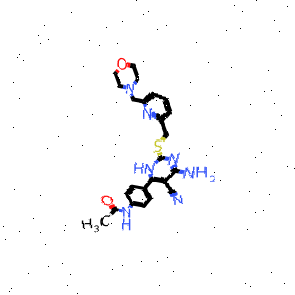 CC(=O)Nc1ccc(C2=C(C#N)C(N)=NC(SCc3cccc(CN4CCOCC4)n3)N2)cc1